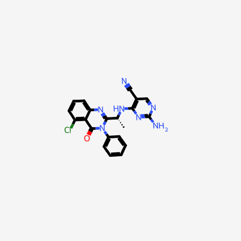 C[C@@H](Nc1nc(N)ncc1C#N)c1nc2cccc(Cl)c2c(=O)n1-c1ccccc1